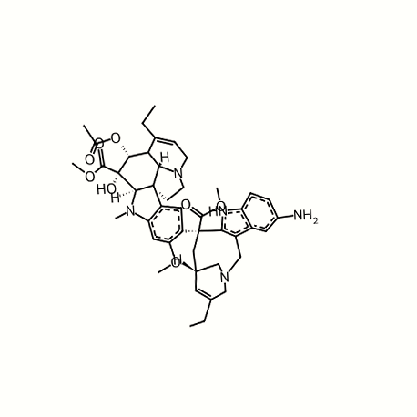 CCC1=C[C@H]2CN(C1)Cc1c([nH]c3ccc(N)cc13)[C@@](C(=O)OC)(c1cc3c(cc1OC)N(C)[C@H]1[C@@](O)(C(=O)OC)[C@H](OC(C)=O)C4C(CC)=CCN5CC[C@]31[C@H]45)C2